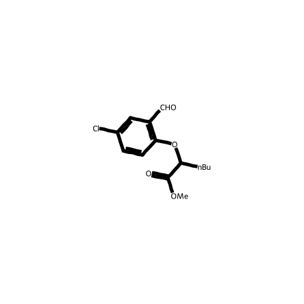 CCCCC(Oc1ccc(Cl)cc1C=O)C(=O)OC